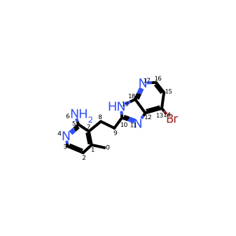 Cc1ccnc(N)c1CCc1nc2c(Br)ccnc2[nH]1